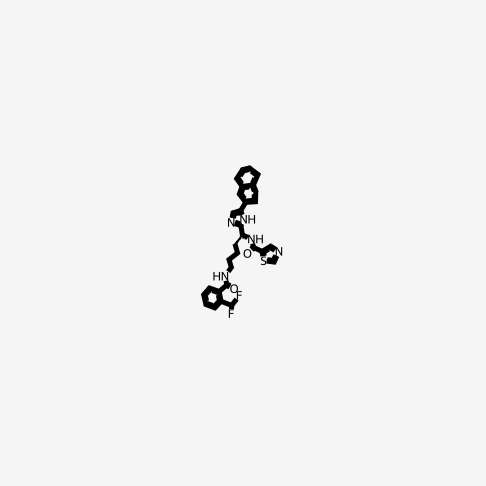 O=C(N[C@@H](CCCCNC(=O)c1ccccc1C(F)F)c1ncc(-c2ccc3ccccc3c2)[nH]1)c1cncs1